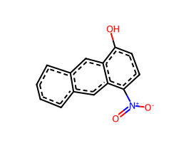 O=[N+]([O-])c1ccc(O)c2cc3ccccc3cc12